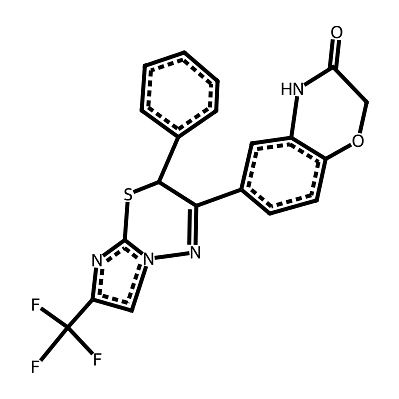 O=C1COc2ccc(C3=Nn4cc(C(F)(F)F)nc4SC3c3ccccc3)cc2N1